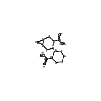 O=C(O)C1CCC2OC2C1.O=C(O)C1CCCCC1